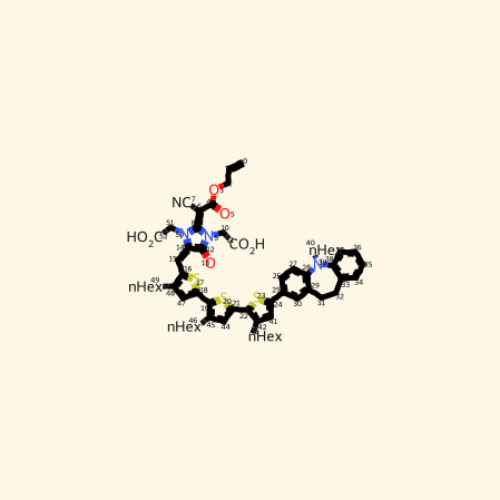 C=CCOC(=O)/C(C#N)=c1\n(CC(=O)O)c(=O)/c(=C\c2sc(-c3sc(-c4sc(-c5ccc6c(c5)CCc5ccccc5N6CCCCCC)cc4CCCCCC)cc3CCCCCC)cc2CCCCCC)n1CC(=O)O